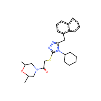 CC1CN(C(=O)CSc2nnc(Cc3cccc4ccccc34)n2C2CCCCC2)CC(C)O1